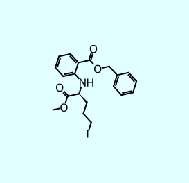 COC(=O)[C@H](CCCI)Nc1ccccc1C(=O)OCc1ccccc1